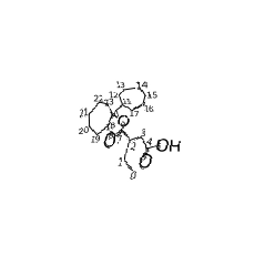 CCC(CC(=O)O)C(=O)OC1(C2CCCCCC2)CCCCCC1